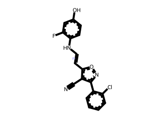 N#Cc1c(-c2ccccc2Cl)noc1/C=C/Nc1ccc(O)cc1F